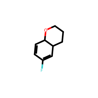 FC1=CC2CCCOC2C=C1